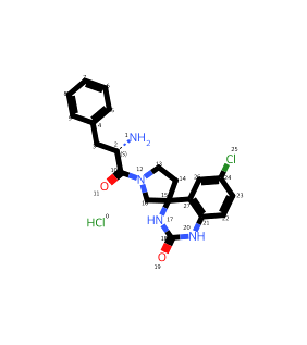 Cl.N[C@@H](Cc1ccccc1)C(=O)N1CCC2(C1)NC(=O)Nc1ccc(Cl)cc12